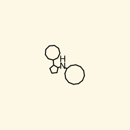 C1CCCCCC(NC2CCCC2C2CCCCCCCC2)CCCCC1